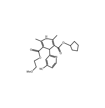 COCCOC(=O)C1=C(C)NC(C)=C(C(=O)OC2CCCC2)C1c1cc(C#N)ccn1